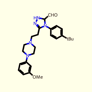 COc1cccc(N2CCN(CCC3=NNC(C=O)N3c3ccc(C(C)(C)C)cc3)CC2)c1